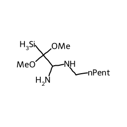 CCCCCCNC(N)C([SiH3])(OC)OC